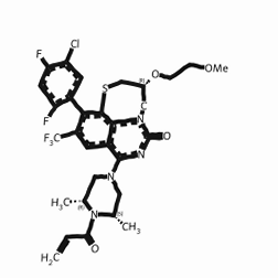 C=CC(=O)N1[C@H](C)CN(c2nc(=O)n3c4c(c(-c5cc(Cl)c(F)cc5F)c(C(F)(F)F)cc24)SC[C@H](OCCOC)C3)C[C@@H]1C